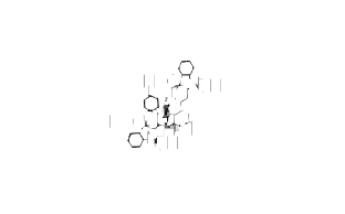 CN1C(=CC=C2CCCC(C=CC3N(C)c4ccccc4C3(C)C)=C2S(=O)(=O)c2ccccc2)C(C)(C)c2ccccc21.Cl